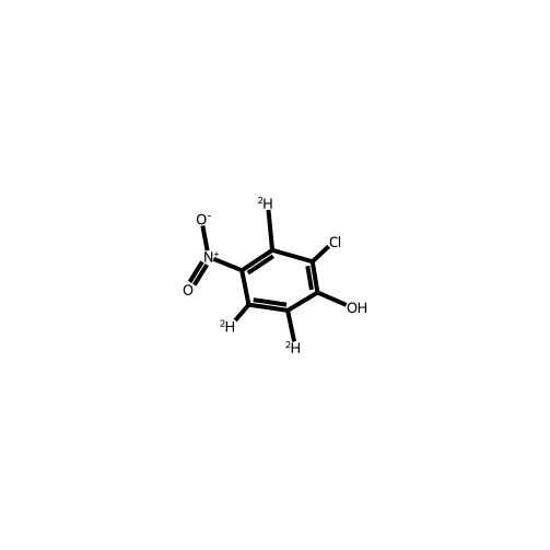 [2H]c1c([2H])c([N+](=O)[O-])c([2H])c(Cl)c1O